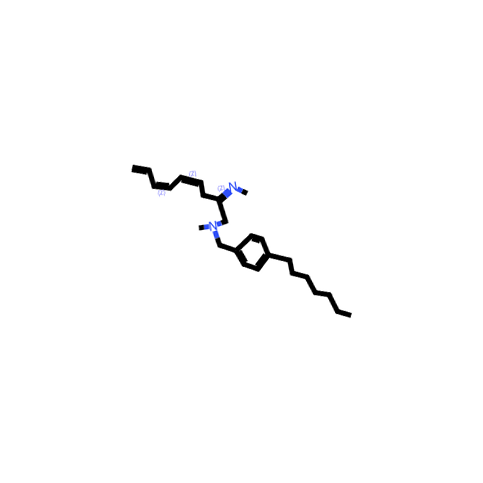 C=C/C=C\C=C/C/C(CN(C)Cc1ccc(CCCCCCC)cc1)=N/C